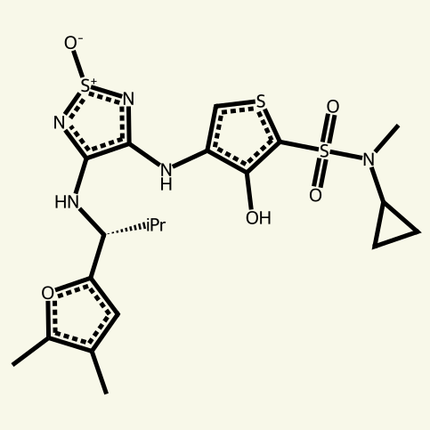 Cc1cc([C@H](Nc2n[s+]([O-])nc2Nc2csc(S(=O)(=O)N(C)C3CC3)c2O)C(C)C)oc1C